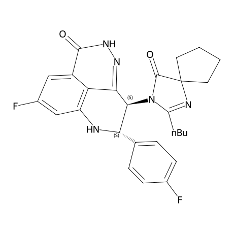 CCCCC1=NC2(CCCC2)C(=O)N1[C@@H]1c2n[nH]c(=O)c3cc(F)cc(c23)N[C@H]1c1ccc(F)cc1